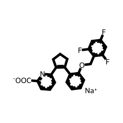 O=C([O-])c1cccc(C2=C(c3ccccc3OCc3c(F)cc(F)cc3F)CCC2)n1.[Na+]